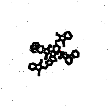 O=C(CC1=C(/C=C(/C=C2C(=S)c3ccccc3C2=S)CC(=O)OCc2ccccc2)C(C(=O)OCc2ccccc2)(C(=O)OCc2ccccc2)c2c1sc1cc(C=C3C(=S)c4ccccc4C3=S)sc21)OCc1ccccc1